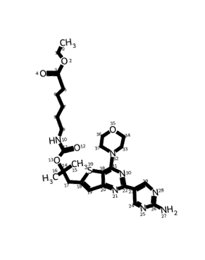 CCOC(=O)CCCCCNC(=O)OC(C)(C)Cc1cc2nc(-c3cnc(N)nc3)nc(N3CCOCC3)c2s1